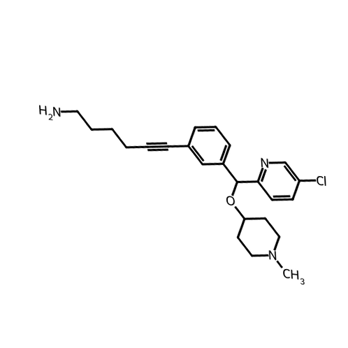 CN1CCC(OC(c2cccc(C#CCCCCN)c2)c2ccc(Cl)cn2)CC1